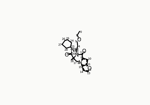 CCOCCCN1C(=O)c2cc3occc3n2CC1(C)C(=O)NC1CCCCC1